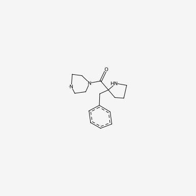 O=C(N1CC[N]CC1)C1(Cc2ccccc2)CCCN1